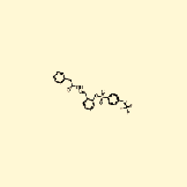 O=C(Cc1ccccc1)NN=Cc1ccccc1OS(=O)(=O)c1ccc(OC(F)(F)F)cc1